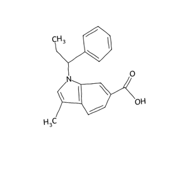 CCC(c1ccccc1)n1cc(C)c2ccc(C(=O)O)cc21